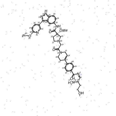 C=C(/N=C\N(N)CCO)c1ccc(C2=CCN(C(=O)CN3CC[C@@](OC)(C(=O)Nc4ccc5[nH]nc(-c6ccc(OC(C)C)nc6)c5c4)C3)CC2)cc1